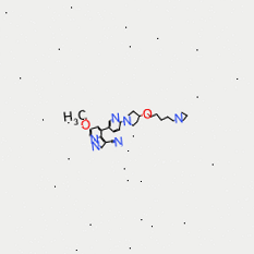 CCOc1cc(-c2ccc(N3CCC(OCCCCCN4CCC4)CC3)nc2)c2c(C#N)cnn2c1